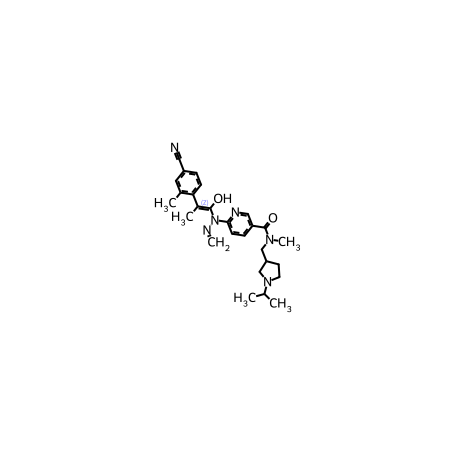 C=NN(/C(O)=C(\C)c1ccc(C#N)cc1C)c1ccc(C(=O)N(C)CC2CCN(C(C)C)C2)cn1